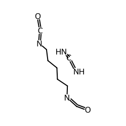 N=C=N.O=C=NCCCCCN=C=O